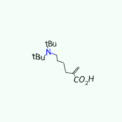 C=C(CCCCN(C(C)(C)C)C(C)(C)C)C(=O)O